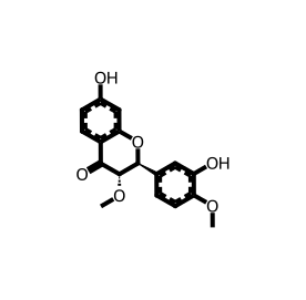 COc1ccc([C@@H]2Oc3cc(O)ccc3C(=O)[C@H]2OC)cc1O